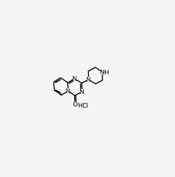 Cl.O=c1nc(N2CCNCC2)nc2ccccn12